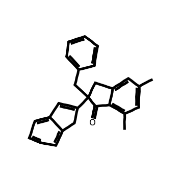 Cc1cc(C)c2c(c1)CC(Cc1ccccc1)(C1=Cc3ccccc3C1)C2=O